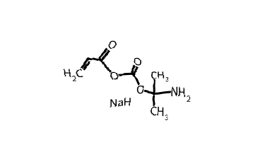 C=CC(=O)OC(=O)OC(C)(C)N.[NaH]